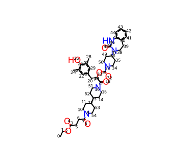 CCOC(=O)CCC(=O)N1CCC(C2CCN(C(=O)[C@@H](Cc3cc(C)c(O)c(C)c3)OC(=O)N3CCC(N4CCc5ccccc5NC4=O)CC3)CC2)CC1